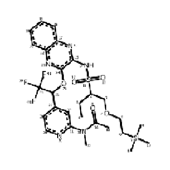 CCC(COCC[Si](C)(C)C)S(=O)(=O)Nc1nc2ccccc2nc1OC(c1ccnc(N(C)C(C)=O)c1)C(F)(F)F